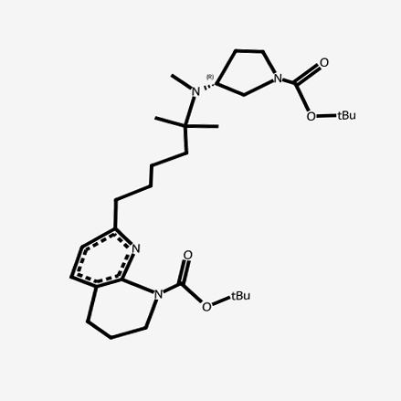 CN([C@@H]1CCN(C(=O)OC(C)(C)C)C1)C(C)(C)CCCCc1ccc2c(n1)N(C(=O)OC(C)(C)C)CCC2